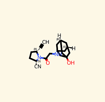 C#C[C@H]1CC[C@@H](C#N)N1C(=O)CNC12C[C@@H]3C[C@@H](CC(O)(C3)C1)C2